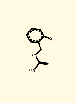 NC(=S)NCc1ccccc1C(F)(F)F